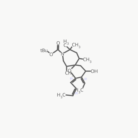 C\C=C/C=C1/OC2(CC(O)/C1=C/C)C(C)CN(C(=O)OC(C)(C)C)C(C)(C)CC2C